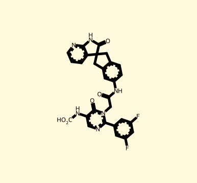 O=C(O)Nc1cnc(-c2cc(F)cc(F)c2)n(CC(=O)Nc2ccc3c(c2)CC2(C3)C(=O)Nc3ncccc32)c1=O